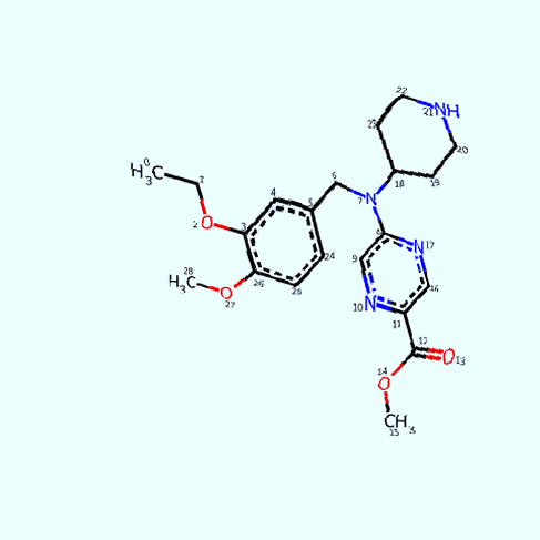 CCOc1cc(CN(c2cnc(C(=O)OC)cn2)C2CCNCC2)ccc1OC